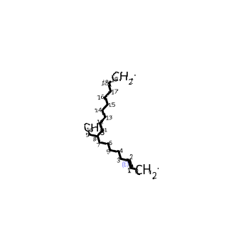 [CH2]/C=C/CCCCCC(CC)CCCCCCCC[CH2]